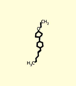 C=CCOC1CCC(C2CCC(C=CCCCC)CC2)CC1